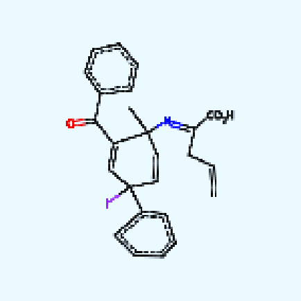 C=CCC(=NC1(C)C=CC(I)(c2ccccc2)C=C1C(=O)c1ccccc1)C(=O)O